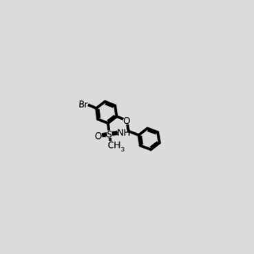 CS(=N)(=O)c1cc(Br)ccc1OCc1ccccc1